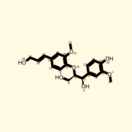 COc1cc([C@@H](O)[C@@H](CO)Oc2ccc(/C=C/CO)cc2OC)ccc1O